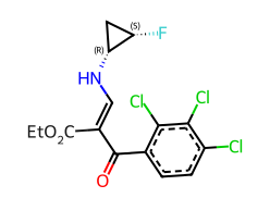 CCOC(=O)C(=CN[C@@H]1C[C@@H]1F)C(=O)c1ccc(Cl)c(Cl)c1Cl